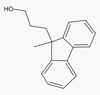 CC1(CCCO)c2ccccc2-c2ccccc21